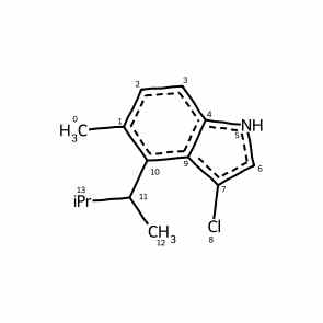 Cc1ccc2[nH]cc(Cl)c2c1C(C)C(C)C